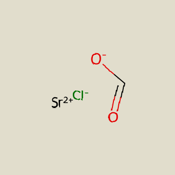 O=C[O-].[Cl-].[Sr+2]